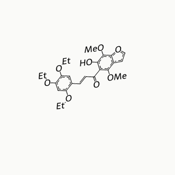 CCOc1cc(OCC)c(OCC)cc1/C=C/C(=O)c1c(O)c(OC)c2occc2c1OC